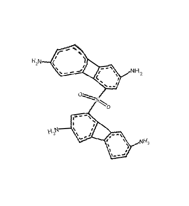 Nc1ccc2c(c1)-c1c-2cc(N)cc1S(=O)(=O)c1cc(N)cc2c1-c1cc(N)ccc1-2